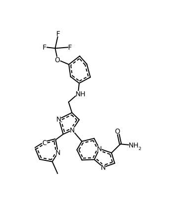 Cc1cccc(-c2nc(CNc3cccc(OC(F)(F)F)c3)cn2-c2ccc3ncc(C(N)=O)n3c2)n1